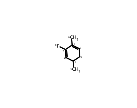 CC1=CCC(C)C=C1F